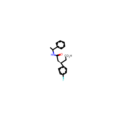 CC(NC(=O)C[C@@H](CC(=O)O)c1ccc(F)cc1)c1ccccc1